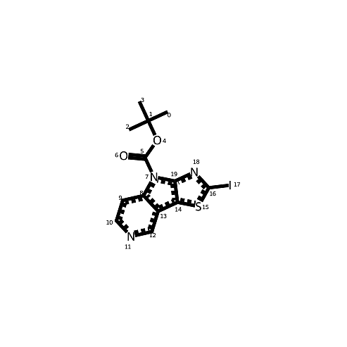 CC(C)(C)OC(=O)n1c2ccncc2c2sc(I)nc21